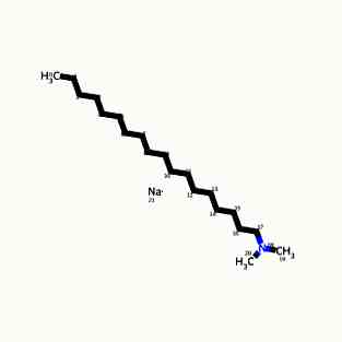 CCCCCCCCCCCCCCCCCCN(C)C.[Na]